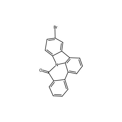 O=c1c2ccccc2c2cccc3c4cc(Br)ccc4n1c23